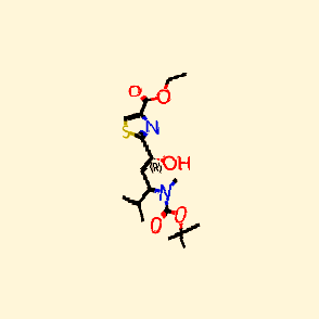 CCOC(=O)c1csc([C@H](O)CC(C(C)C)N(C)C(=O)OC(C)(C)C)n1